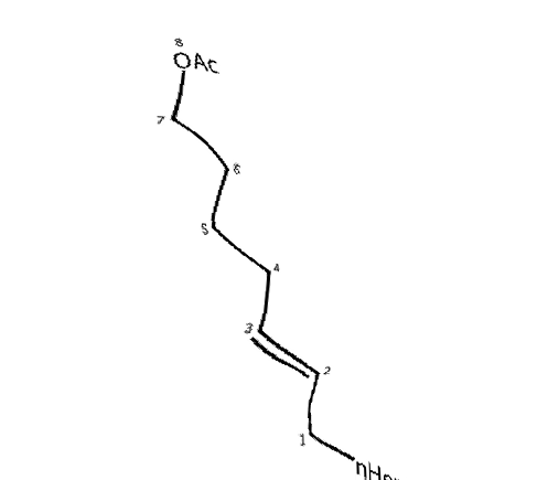 CCCCCCCCC=CCCCCOC(C)=O